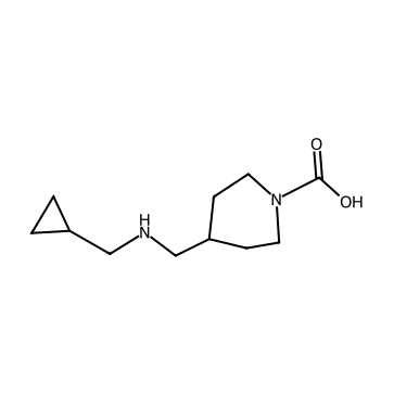 O=C(O)N1CCC(CNCC2CC2)CC1